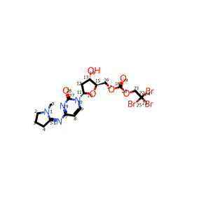 CN1CCCC1=Nc1ccn([C@H]2C[C@H](O)[C@@H](COC(=O)OCC(Br)(Br)Br)O2)c(=O)n1